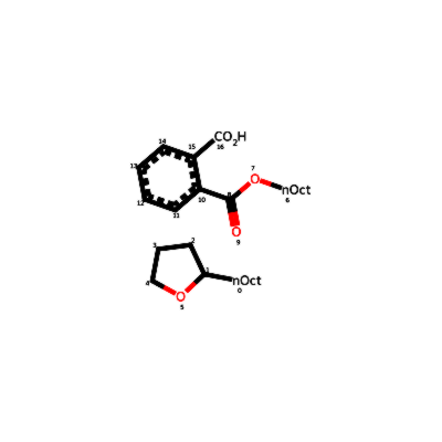 CCCCCCCCC1CCCO1.CCCCCCCCOC(=O)c1ccccc1C(=O)O